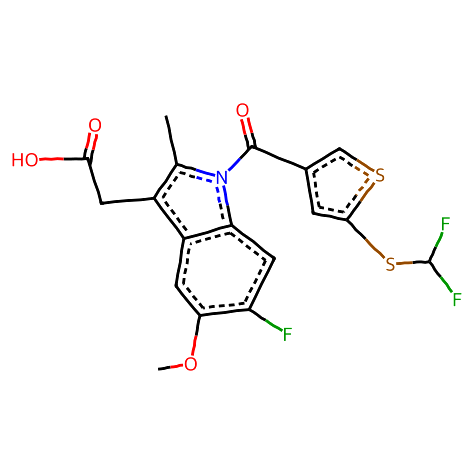 COc1cc2c(CC(=O)O)c(C)n(C(=O)c3csc(SC(F)F)c3)c2cc1F